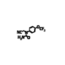 N#CCN(C(N)=O)c1ccc(OC(F)(F)F)cc1